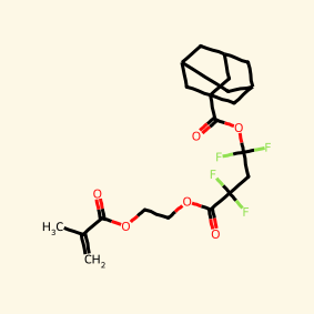 C=C(C)C(=O)OCCOC(=O)C(F)(F)CC(F)(F)OC(=O)C12CC3CC(CC(C3)C1)C2